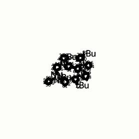 CC(C)(C)c1cc(N2c3ccccc3B3c4ccccc4N(c4cc(C(C)(C)C)cc(C(C)(C)C)c4)c4cc(-c5ccc6c(c5)c5ccccc5n6-c5cccc(-c6nc(-c7ccccc7)nc(-c7ccccc7)n6)c5)cc2c43)cc(C(C)(C)C)c1